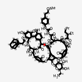 CC[C@H](CC(C)C)C(=O)N[C@H]1C(=O)C[C@@H](CC(=O)NC(=O)Nc2ccc(CCOC)cc2)C(=O)N[C@H]2C(=O)C[C@H]3C(=O)N[C@H](C(=O)N[C@H](C(=O)CC4C5CC6CC(C5)CC4C6)c4cc(O)cc(O)c4-c4cc3ccc4O)[C@H](O)c3ccc(c(Cl)c3)Oc3cc2cc(c3O[C@@H]2O[C@H](CN)[C@@H](O)[C@H](O)[C@H]2O)Oc2ccc(cc2Cl)[C@H]1O